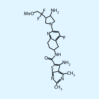 COCC(F)(F)C1CN(c2cc(F)c3c(n2)CCC(NC(=O)c2sc4nc(C)nc(C)c4c2N)C3)CC1N